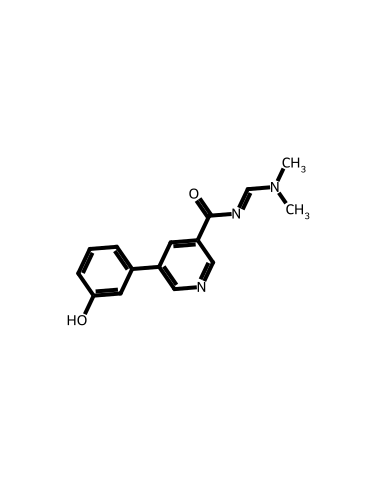 CN(C)/C=N/C(=O)c1cncc(-c2cccc(O)c2)c1